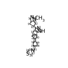 Cn1ncc2ccc(-c3n[nH]c4c3Cc3sc(-c5ccc(CN6CCSCC6)cc5)cc3-4)cc21